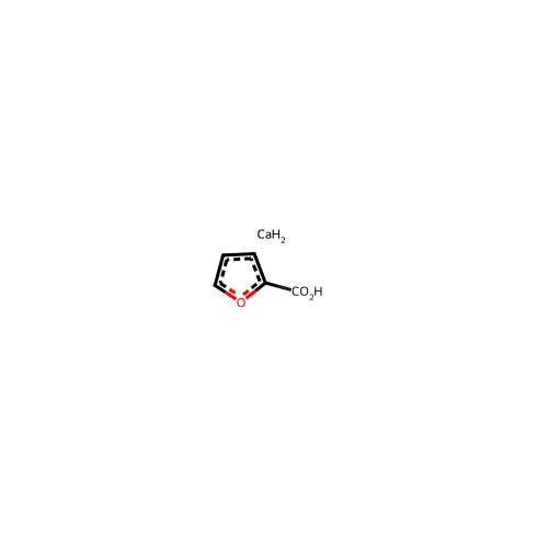 O=C(O)c1ccco1.[CaH2]